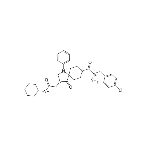 N[C@@H](Cc1ccc(Cl)cc1)C(=O)N1CCC2(CC1)C(=O)N(CC(=O)NC1CCCCC1)CN2c1ccccc1